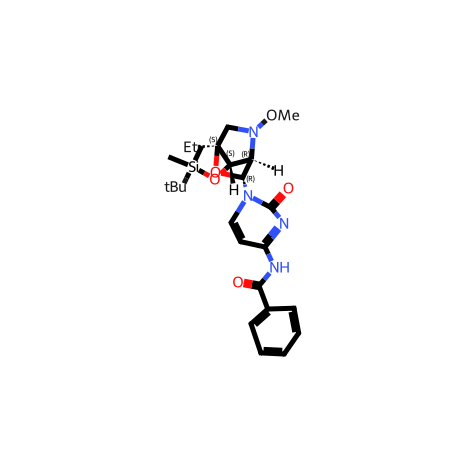 CC[C@@]12CN(OC)[C@@H]([C@H](n3ccc(NC(=O)c4ccccc4)nc3=O)O1)[C@@H]2O[Si](C)(C)C(C)(C)C